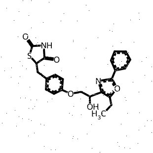 CCc1oc(-c2ccccc2)nc1C(O)COc1ccc(CC2SC(=O)NC2=O)cc1